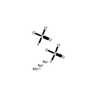 O=P([O-])([O-])F.O=P([O-])([O-])F.[Mn+2].[Na+].[Na+]